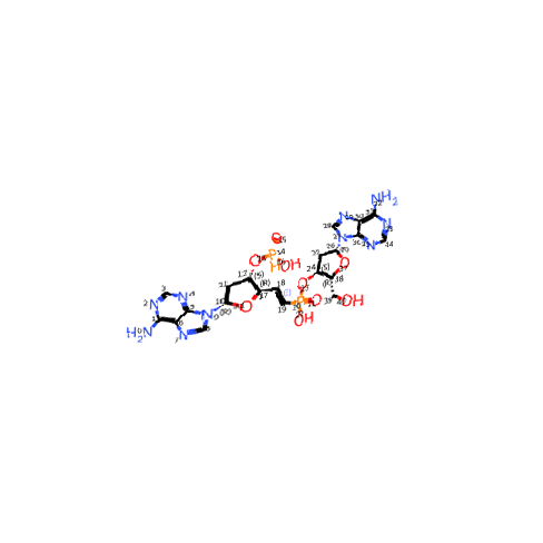 Nc1ncnc2c1ncn2[C@H]1C[C@H](O[PH](=O)O)[C@@H](/C=C/P(=O)(O)O[C@H]2C[C@H](n3cnc4c(N)ncnc43)O[C@@H]2CO)O1